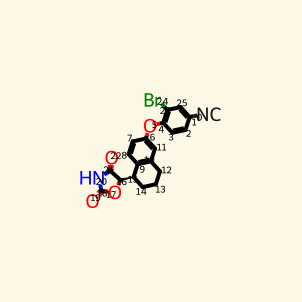 [C-]#[N+]c1ccc(Oc2ccc3c(c2)CCC[C@H]3C2OC(=O)NC2=O)c(Br)c1